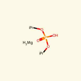 CC(C)OP(=O)(O)OC(C)C.[MgH2]